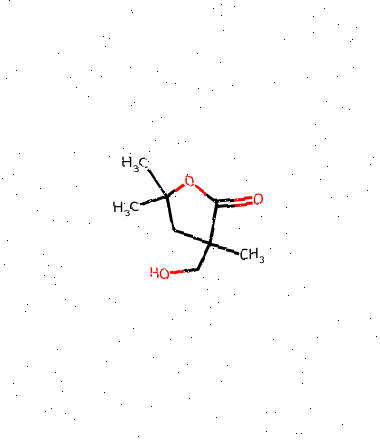 CC1(C)CC(C)(CO)C(=O)O1